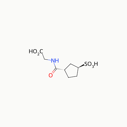 O=C(O)CNC(=O)[C@H]1CC[C@H](S(=O)(=O)O)C1